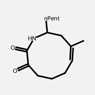 CCCCCC1C/C(C)=C\CCCC(=O)C(=O)N1